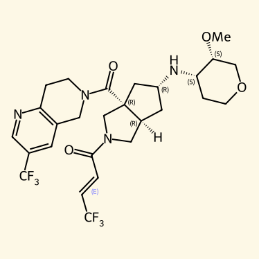 CO[C@@H]1COCC[C@@H]1N[C@@H]1C[C@H]2CN(C(=O)/C=C/C(F)(F)F)C[C@@]2(C(=O)N2CCc3ncc(C(F)(F)F)cc3C2)C1